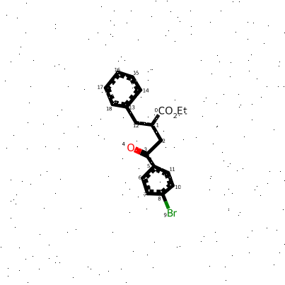 CCOC(=O)C(CC(=O)c1ccc(Br)cc1)Cc1ccccc1